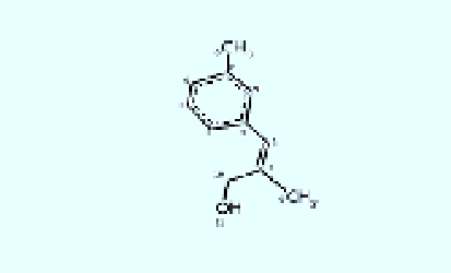 CC(=Cc1cccc(C)c1)CO